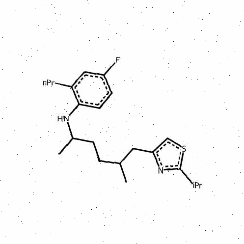 CCCc1cc(F)ccc1NC(C)CCC(C)Cc1csc(C(C)C)n1